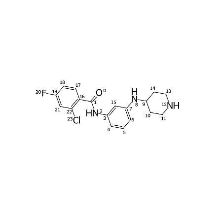 O=C(Nc1cccc(NC2CCNCC2)c1)c1ccc(F)cc1Cl